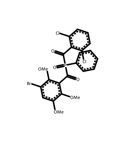 COc1cc(Br)c(OC)c(C(=O)P(=O)(C(=O)c2c(Cl)cccc2Cl)c2ccccc2)c1OC